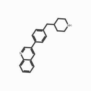 c1ccc2ncc(-c3ccc(CC4CCNCC4)cc3)cc2c1